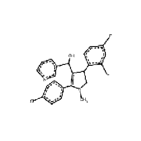 CN1CC(c2ccc(F)cc2F)C(C(O)c2cccnc2)=C1c1ccc(Cl)cc1